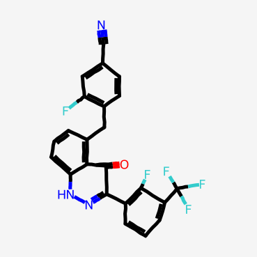 N#Cc1ccc(Cc2cccc3[nH]nc(-c4cccc(C(F)(F)F)c4F)c(=O)c23)c(F)c1